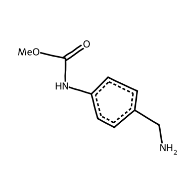 COC(=O)Nc1ccc(CN)cc1